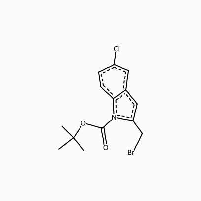 CC(C)(C)OC(=O)n1c(CBr)cc2cc(Cl)ccc21